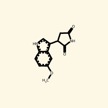 COc1ccc2[nH]cc(C3CC(=O)NC3=O)c2c1